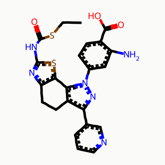 CCSC(=O)Nc1nc2c(s1)-c1c(c(-c3cccnc3)nn1-c1ccc(C(=O)O)c(N)c1)CC2